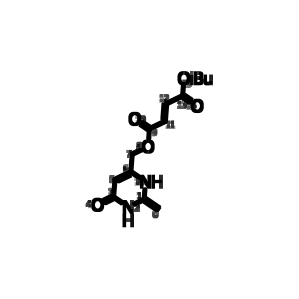 C=C1NC(=O)C=C(COC(=O)/C=C/C(=O)OCC(C)C)N1